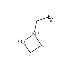 CCCN1CCO1